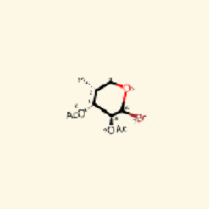 CC(=O)O[C@@H]1[C@H](C)COC(Br)[C@H]1OC(C)=O